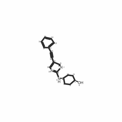 O[C@H]1CC[C@@H](Nc2ncc(C#Cc3ccccc3)cn2)CC1